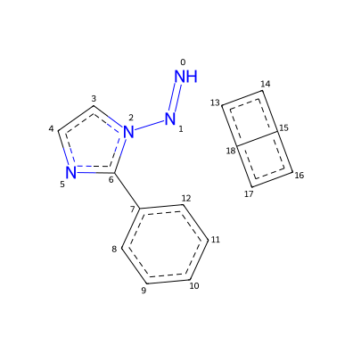 N=Nn1ccnc1-c1ccccc1.c1cc2ccc1-2